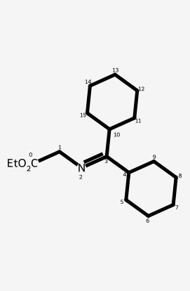 CCOC(=O)CN=C(C1CCCCC1)C1CCCCC1